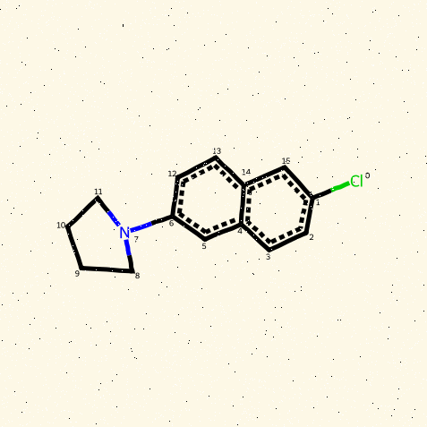 Clc1ccc2cc(N3CCCC3)ccc2c1